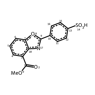 COC(=O)c1cccc2oc(-c3ccc(S(=O)(=O)O)cc3)nc12